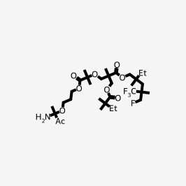 CCC(C)(COC(=O)C(C)(COC(=O)C(C)(C)CC)COC(C)(C)C(=O)OCCCOC(C)(N)C(C)=O)CC(C)(CF)C(F)(F)F